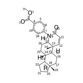 COC(=O)c1ccc(N2C(=O)C=C[C@]3(C)[C@H]4CC[C@]5(C)CCC[C@H]5[C@@H]4CC[C@@H]23)cc1